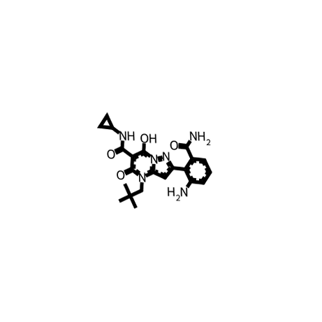 CC(C)(C)Cn1c(=O)c(C(=O)NC2CC2)c(O)n2nc(-c3c(N)cccc3C(N)=O)cc12